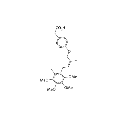 COc1c(C)c(CC=C(C)COc2ccc(CC(=O)O)cc2)c(OC)c(OC)c1OC